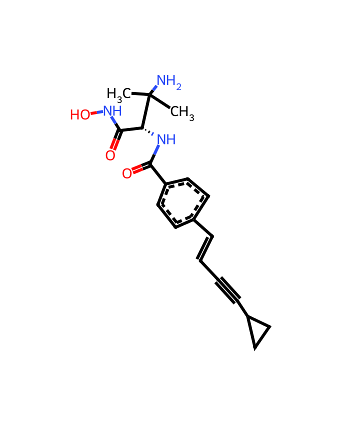 CC(C)(N)[C@H](NC(=O)c1ccc(/C=C/C#CC2CC2)cc1)C(=O)NO